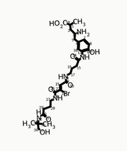 CC(C[C@@H](N)Cc1ccc(O)c(NC(=O)CCCNC(=O)/C=C(\Br)C(=O)NCCCC(=O)NC(C)(C)CO)c1)C(=O)O